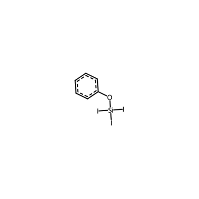 I[Si](I)(I)Oc1ccccc1